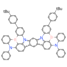 CC(C)(C)c1ccc(-c2ccc3c(c2)B2c4ccccc4N(c4ccccc4)c4ccc5c6cc7c8ccc9c%10c8n(c7cc6n-3c5c42)-c2ccc(-c3ccc(C(C)(C)C)cc3)cc2B%10c2ccccc2N9c2ccccc2)cc1